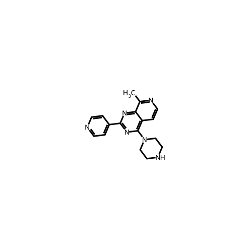 Cc1nccc2c(N3CCNCC3)nc(-c3ccncc3)nc12